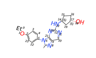 CCOc1ccc(-n2cnc3cnc(N[C@H]4CC[C@H](O)C4)nc32)cc1